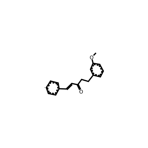 COc1cccc(CCC(=O)C=Cc2cc[c]cc2)c1